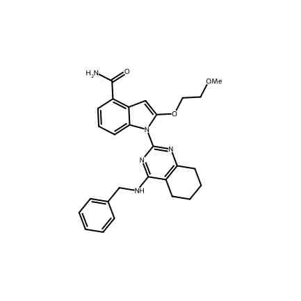 COCCOc1cc2c(C(N)=O)cccc2n1-c1nc2c(c(NCc3ccccc3)n1)CCCC2